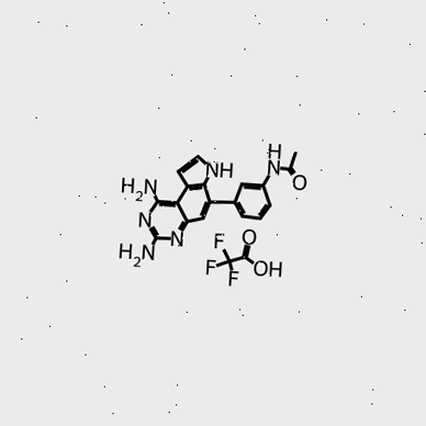 CC(=O)Nc1cccc(-c2cc3nc(N)nc(N)c3c3cc[nH]c23)c1.O=C(O)C(F)(F)F